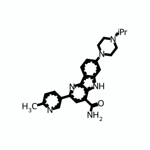 Cc1ccc(-c2cc(C(N)=O)c3[nH]c4cc(N5CCN(C(C)C)CC5)ccc4c3n2)cn1